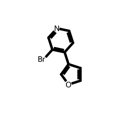 Brc1cnccc1-c1ccoc1